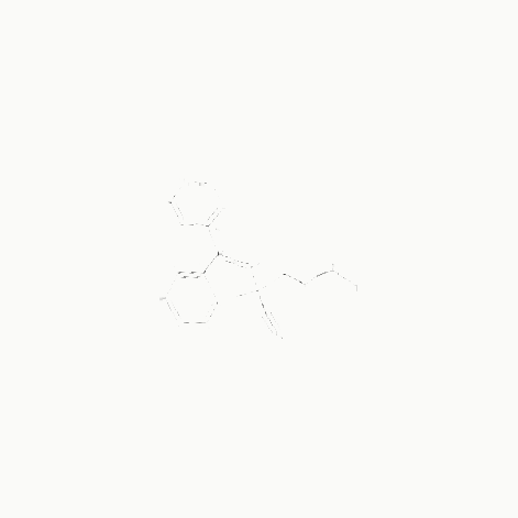 CC(C#N)(CCCF)N=C(c1ccccc1)c1ccccc1